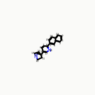 c1ccc2cc(-c3ccc(C45CCN(CC4)C5)cn3)ccc2c1